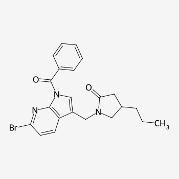 CCCC1CC(=O)N(Cc2cn(C(=O)c3ccccc3)c3nc(Br)ccc23)C1